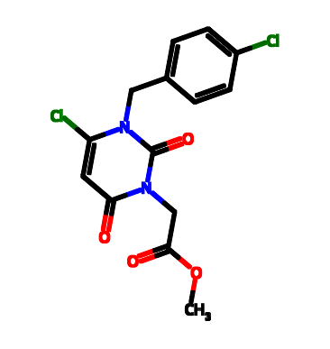 COC(=O)Cn1c(=O)cc(Cl)n(Cc2ccc(Cl)cc2)c1=O